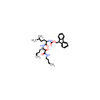 C=CCCNC(=O)C(=O)[C@@H](CCC=C)NC(=O)C(CCC(C)C)NC(=O)OCC1c2ccccc2-c2ccccc21